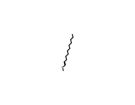 CCCCCCCCCCC=CSC